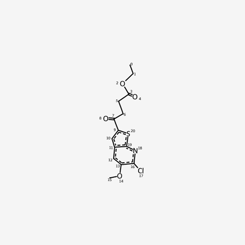 CCOC(=O)CCC(=O)c1cc2cc(OC)c(Cl)nc2s1